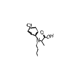 CCCCN(c1ccc(Cl)cc1)C(C)C(=O)O